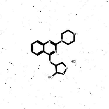 Cl.OC1COCC1Oc1nc(N2CCNCC2)nc2ccccc12